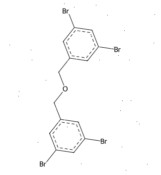 Brc1cc(Br)cc(COCc2cc(Br)cc(Br)c2)c1